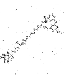 NCc1cc(Oc2cccc(C(=O)NCCOCCOCCOCCNC(=O)CCCC[C@@H]3SC[C@@H]4NC(=O)N[C@@H]43)c2)nc(C(F)(F)F)c1